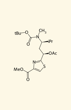 COC(=O)c1csc([C@@H](C[C@H](C(C)C)N(C)C(=O)OC(C)(C)C)OC(C)=O)n1